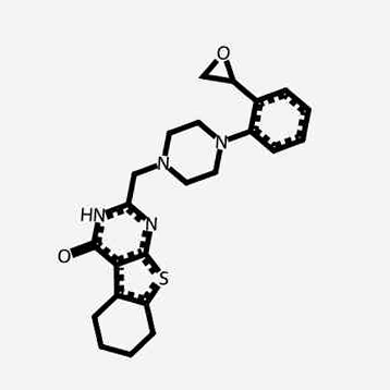 O=c1[nH]c(CN2CCN(c3ccccc3C3CO3)CC2)nc2sc3c(c12)CCCC3